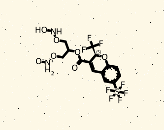 O=C(OC(CONO)CO[NH2+][O-])C1=Cc2cc(S(F)(F)(F)(F)F)ccc2O[C@@H]1C(F)(F)F